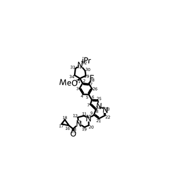 COC1(c2ccc(-c3cc4c(N5CCN(C(=O)C6CC6)CC5)ccnn4c3)cc2F)CCN(C(C)C)CC1